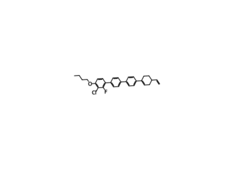 C=CC1CC=C(c2ccc(-c3ccc(-c4ccc(OCCCC)c(Cl)c4F)cc3)cc2)CC1